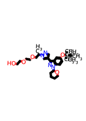 C[C@@H](COCCOCCO)n1cc(-c2nn(C3CCCCO3)c3ccc(O[Si](C)(C)C(C)(C)C)cc23)cn1